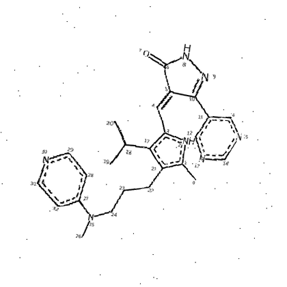 Cc1[nH]c(/C=C2/C(=O)NN=C2c2cncnc2)c(C(C)C)c1CCCN(C)c1ccncc1